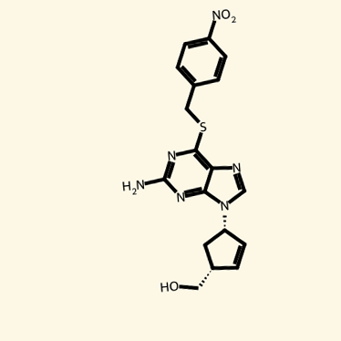 Nc1nc(SCc2ccc([N+](=O)[O-])cc2)c2ncn([C@@H]3C=C[C@H](CO)C3)c2n1